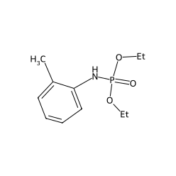 CCOP(=O)(Nc1ccccc1C)OCC